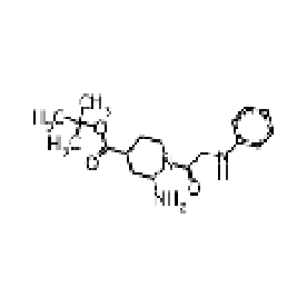 CC(C)(C)OC(=O)C1CCN(C(=O)CNc2ccccc2)C(N)C1